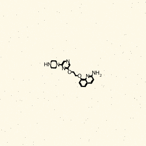 Nc1ccc2cccc(OCCOc3cncc(N4CCNCC4)n3)c2n1